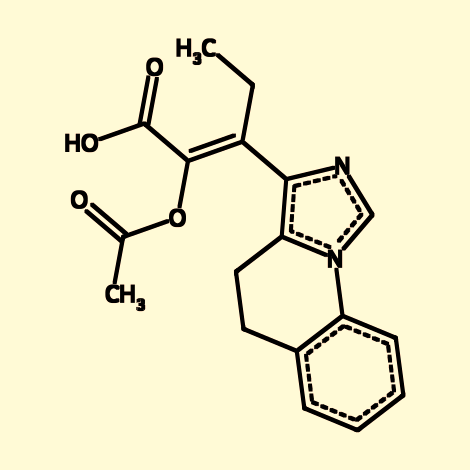 CCC(=C(OC(C)=O)C(=O)O)c1ncn2c1CCc1ccccc1-2